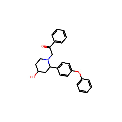 O=C(CN1CCC(O)CC1c1ccc(Oc2ccccc2)cc1)c1ccccc1